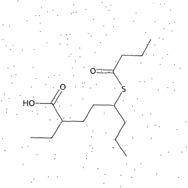 CCCC(=O)SC(CCC)CCC(CC)C(=O)O